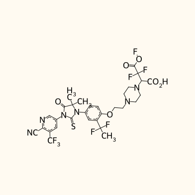 CC(F)(F)c1cc(N2C(=S)N(c3cnc(C#N)c(C(F)(F)F)c3)C(=O)C2(C)C)ccc1OCCN1CCN(C(C(=O)O)C(F)(F)C(=O)OF)CC1